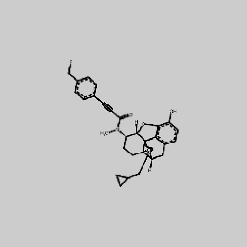 CN(C(=O)C#Cc1ccc(CF)cc1)[C@@H]1CC[C@@]2(O)[C@H]3Cc4ccc(O)c5c4[C@@]2(CCN3CC2CC2)[C@H]1O5